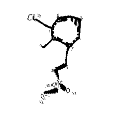 Cc1c(Cl)cccc1C=C[N+](=O)[O-]